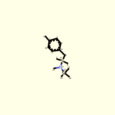 Cc1ccc(C[Si](C)(C)N(C)[Si](C)(C)C)cc1